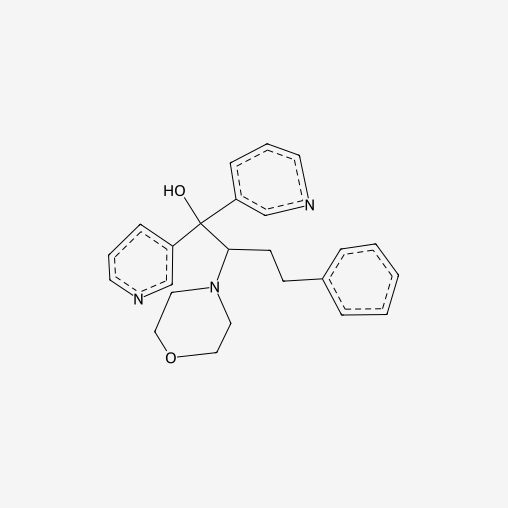 OC(c1cccnc1)(c1cccnc1)C(CCc1ccccc1)N1CCOCC1